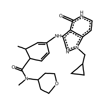 CC1C=C(Nc2nn(CC3CC3)c3cc[nH]c(=O)c23)C=CC1C(=O)N(C)C1CCOCC1